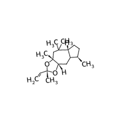 C=C[C@@]1(C)O[C@H]2CC3[C@H](C)CC[C@H]3C(C)(C)C[C@@]2(C)O1